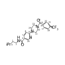 CC(C)CCNC(=O)c1ccc(N2CCN(C(=O)c3ccc(C(F)(F)F)cc3)CC2)nc1